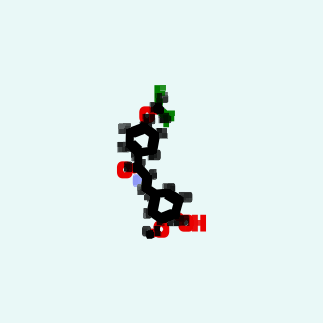 COc1cc(/C=C/C(=O)c2ccc(OC(F)F)cc2)ccc1O